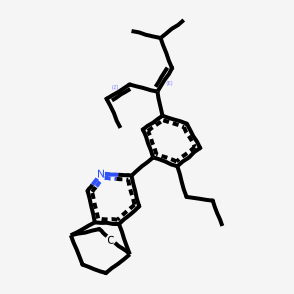 C/C=C\C(=C/C(C)C)c1ccc(CCC)c(-c2cc3c(cn2)C2CCC3CC2)c1